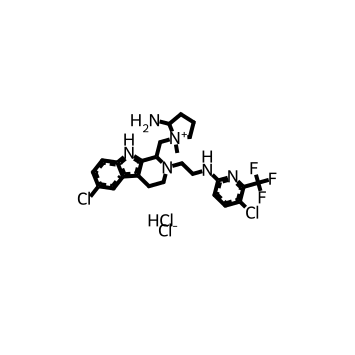 C[N+]1(CC2c3[nH]c4ccc(Cl)cc4c3CCN2CCNc2ccc(Cl)c(C(F)(F)F)n2)CCCC1N.Cl.[Cl-]